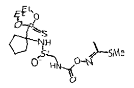 CCOP(=S)(OCC)C1(N[S+]([O-])CNC(=O)ON=C(C)SC)CCCC1